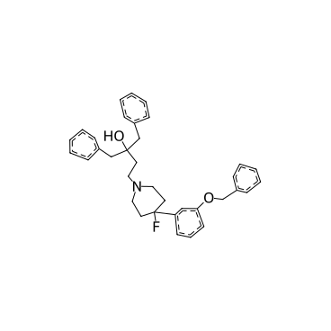 OC(CCN1CCC(F)(c2cccc(OCc3ccccc3)c2)CC1)(Cc1ccccc1)Cc1ccccc1